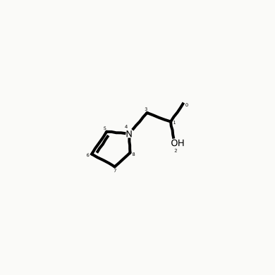 CC(O)CN1C=CCC1